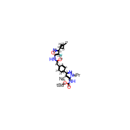 CC(C)n1nc(-c2ccc(CC(=O)Nc3onc(C45CC(C)(C4)C5)c3F)cc2)c(C#N)c1NC(=O)OC(C)(C)C